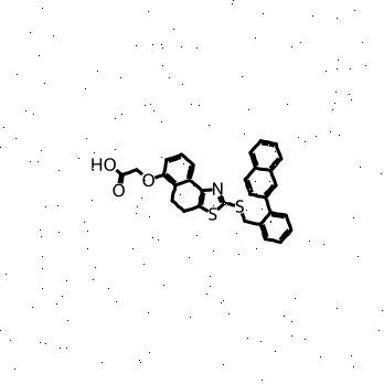 O=C(O)COc1cccc2c1CCc1sc(SCc3ccccc3-c3ccc4ccccc4c3)nc1-2